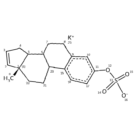 C[C@@]12C=CCC1C1CCc3cc(OS(=O)(=O)[O-])ccc3C1CC2.[K+]